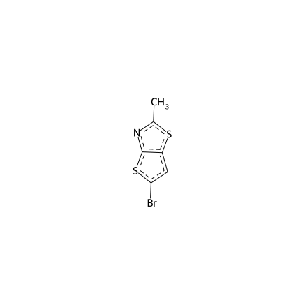 Cc1nc2sc(Br)cc2s1